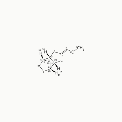 COC=C1C[C@@H]2[C@@H]3CC[C@@H](C3)[C@@H]2C1